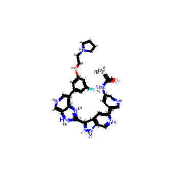 CCCC(=O)Nc1cncc(-c2cc3c(-c4nc5c(-c6cc(F)cc(OCCN7CCCC7)c6)cncc5[nH]4)n[nH]c3cn2)c1